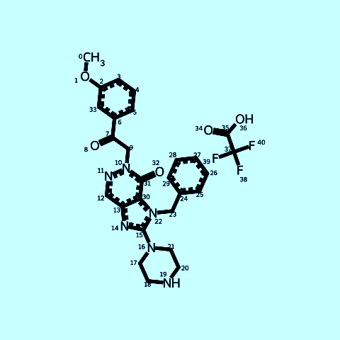 COc1cccc(C(=O)Cn2ncc3nc(N4CCNCC4)n(Cc4ccccc4)c3c2=O)c1.O=C(O)C(F)(F)F